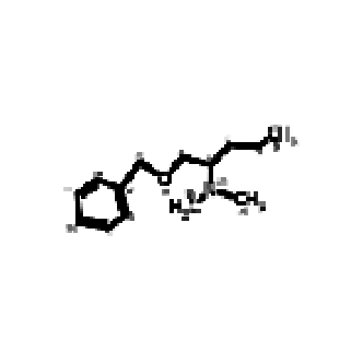 CCCC(COCc1ccccc1)N(C)C